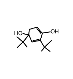 CC(C)(C)C1=CC(O)(C(C)(C)C)CC=C1O